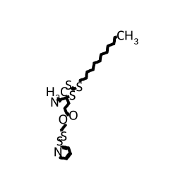 CCCCCCCCCCCCSC(=S)S[C@](C)(C#N)CCC(=O)OCCSSc1ccccn1